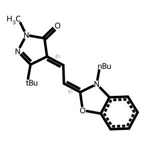 CCCCN1/C(=C\C=C2\C(=O)N(C)N=C2C(C)(C)C)Oc2ccccc21